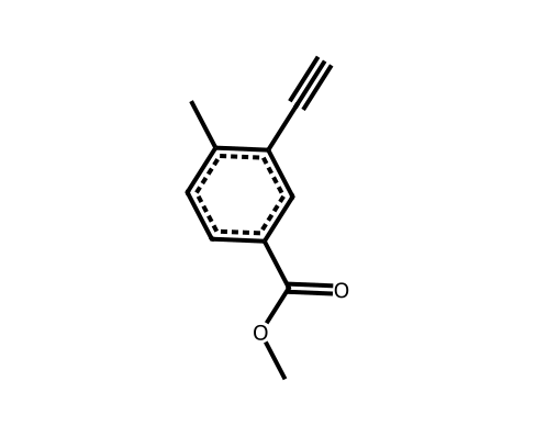 C#Cc1cc(C(=O)OC)ccc1C